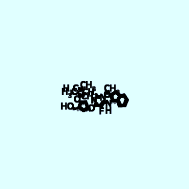 CO[C@H]1Cc2ccccc2[C@H]1Nc1ncnc(O[C@@H]2C[C@@H](CO)[C@@H](O[Si](C)(C)C(C)(C)C)C2)c1F